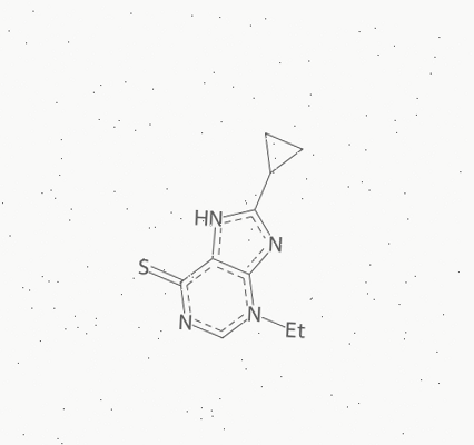 CCn1cnc(=S)c2[nH]c(C3CC3)nc21